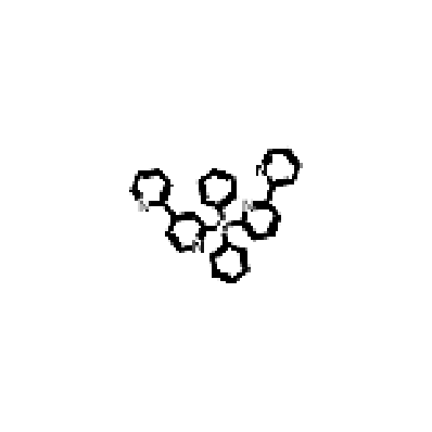 c1ccc([Si](c2ccccc2)(c2cc(-c3ccccn3)ccn2)c2cccc(-c3ccccn3)n2)cc1